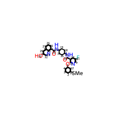 CSc1cccc(Oc2ncc(F)cc2C(=O)NC2CCC(NC(=O)c3cccc4cc(O)cnc34)CC2)c1